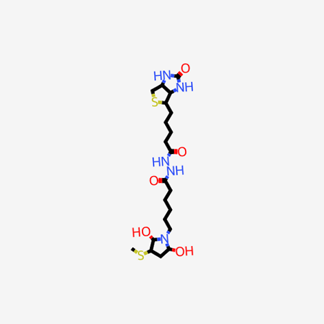 CSC1CC(O)N(CCCCCC(=O)NNC(=O)CCCCC2SCC3NC(=O)NC32)C1O